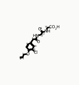 C=CCOc1ccc(CC(=O)NCC(=O)NCC(=O)O)cc1Cl